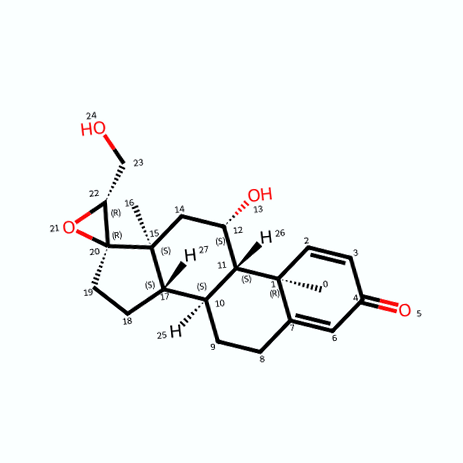 C[C@]12C=CC(=O)C=C1CC[C@@H]1[C@@H]2[C@@H](O)C[C@@]2(C)[C@H]1CC[C@@]21O[C@@H]1CO